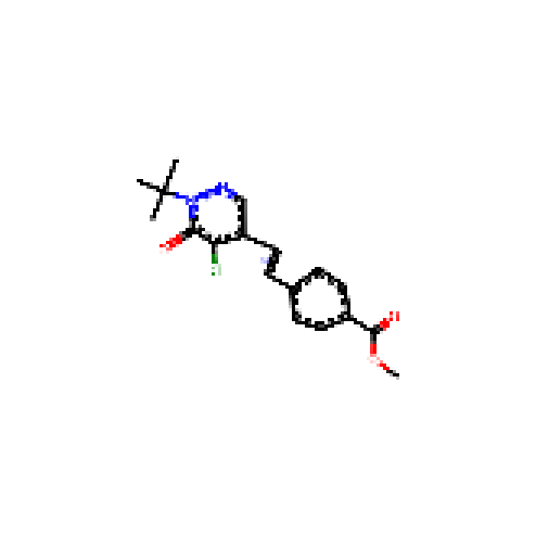 COC(=O)c1ccc(/C=C/c2cnn(C(C)(C)C)c(=O)c2Cl)cc1